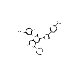 CCOc1ccc(Cl)c(-n2c(C=C(C)C)c(C(=O)N3CCN[C@@H](C)C3)cc(-c3nc(-c4ccc(C(F)F)nc4)cs3)c2=O)c1